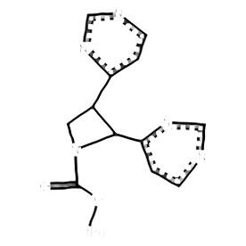 CC(C)(C)OC(=O)N1CC(c2ccncn2)C1c1ccncn1